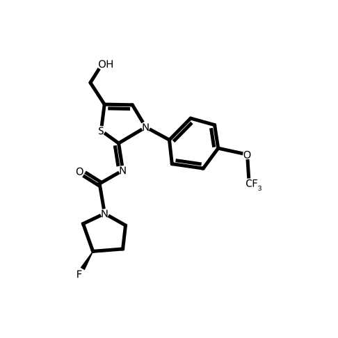 O=C(/N=c1\sc(CO)cn1-c1ccc(OC(F)(F)F)cc1)N1CC[C@@H](F)C1